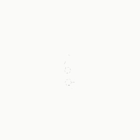 O=c1c(C(F)(F)F)cccn1Cc1ccc(C=C2CCN(C3CCC3)CC2)cc1